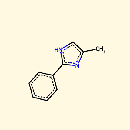 Cc1c[nH]c(-c2[c]cccc2)n1